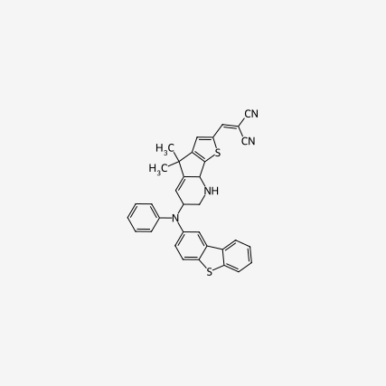 CC1(C)C2=CC(N(c3ccccc3)c3ccc4sc5ccccc5c4c3)CNC2c2sc(C=C(C#N)C#N)cc21